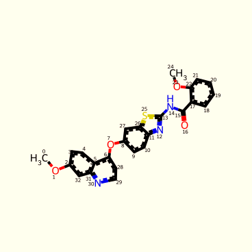 COc1ccc2c(Oc3ccc4nc(NC(=O)c5ccccc5OC)sc4c3)ccnc2c1